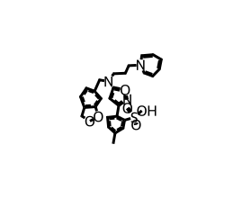 Cc1ccc(-c2cc(N(CCCN3C=CC=CC=C3)Cc3ccc4c(c3)OOC4)on2)c(S(=O)(=O)O)c1